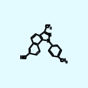 Cc1ccc(-n2nc(C(F)(F)F)c3ccc4cc(O)ccc4c32)cc1